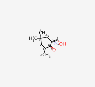 CC1CC(C)(C)C/C(=C/O)C1=O